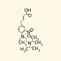 CCN(CCN(C(C)C)C(C)C)c1ccc(CC=CC(=O)O)cc1[N+](=O)[O-]